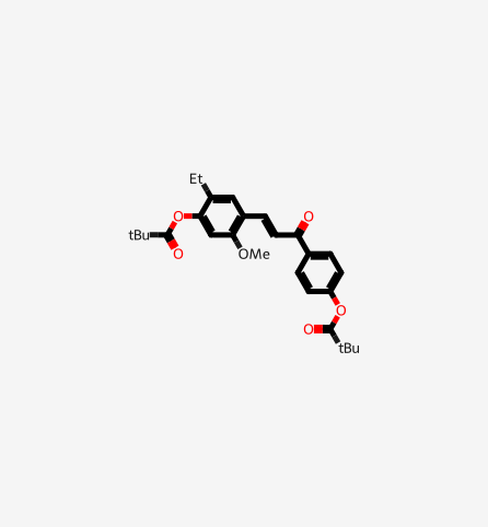 CCc1cc(C=CC(=O)c2ccc(OC(=O)C(C)(C)C)cc2)c(OC)cc1OC(=O)C(C)(C)C